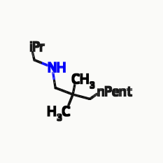 CCCCCCC(C)(C)CNCC(C)C